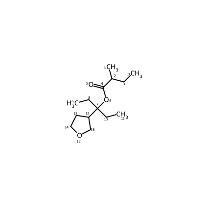 CCC(C)C(=O)OC(CC)(CC)C1CCOC1